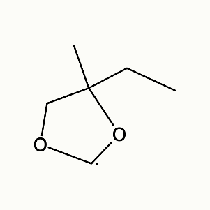 CCC1(C)CO[CH]O1